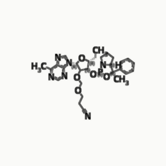 CC[C@H]1O[C@@H](n2cnc3c(C)ncnc32)C(OCOCCC#N)[C@H]1O[P@@]1O[C@](C)(c2ccccc2)[C@@H]2CCCN21